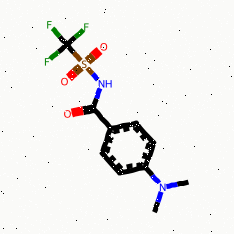 CN(C)c1ccc(C(=O)NS(=O)(=O)C(F)(F)F)cc1